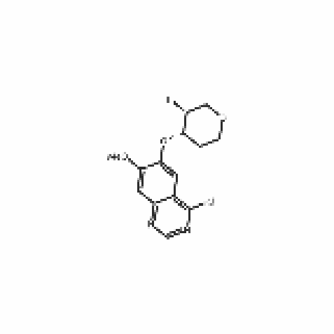 COc1cc2ncnc(Cl)c2cc1O[C@H]1CCOC[C@@H]1F